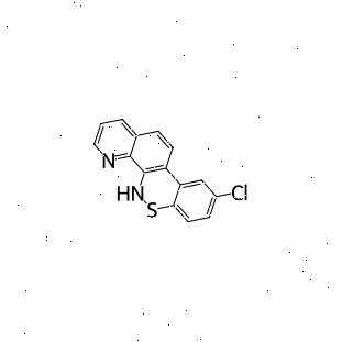 Clc1ccc2c(c1)-c1ccc3cccnc3c1NS2